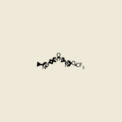 O=C(N1CC(n2cc(OCC(F)(F)F)cn2)C1)N1CC2(CC(n3cnc(C4CC4)c3)C2)C1